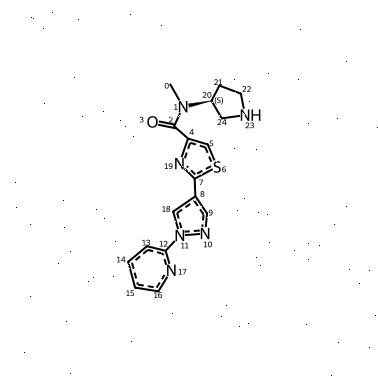 CN(C(=O)c1csc(-c2cnn(-c3ccccn3)c2)n1)[C@H]1CCNC1